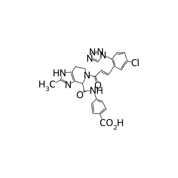 Cc1nc2c([nH]1)CCN(C(=O)C=Cc1cc(Cl)ccc1-n1cnnn1)C2C(=O)Nc1ccc(C(=O)O)cc1